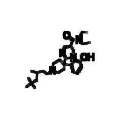 CCN(CC)C(=O)c1cnc(C2(c3cccc(O)c3)CCN(CCC(C)CC(C)(C)C)CC2)nc1